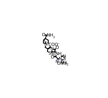 CO/N=C(/C(=O)N[C@@H]1C(=O)N2C(C(=O)[O-])=C(C[N+]34CCC(C(N)=O)(CC3)CC4)CS[C@@H]12)N1C=NSC1N